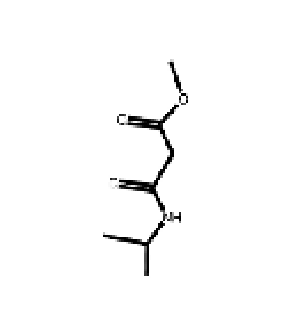 COC(=O)CC(=O)NC(C)C